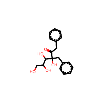 O=C(Cc1ccccc1)C(O)(Cc1ccccc1)C(O)C(O)CO